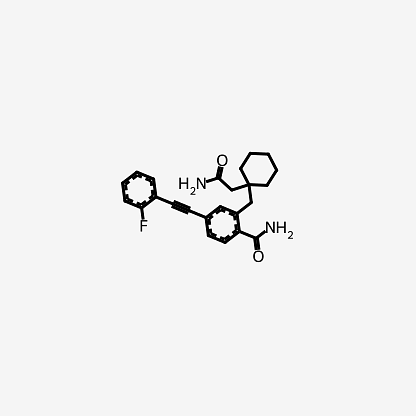 NC(=O)CC1(Cc2cc(C#Cc3ccccc3F)ccc2C(N)=O)CCCCC1